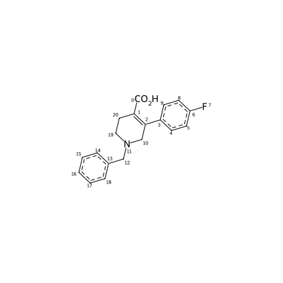 O=C(O)C1=C(c2ccc(F)cc2)CN(Cc2ccccc2)CC1